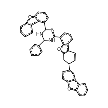 C1=CC(c2ccc3oc4ccccc4c3c2)Cc2oc3c(C4=NC(c5cccc6oc7ccccc7c56)NC(c5ccccc5)N4)cccc3c21